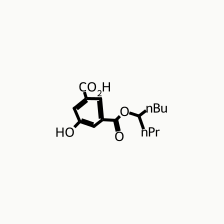 CCCCC(CCC)OC(=O)c1cc(O)cc(C(=O)O)c1